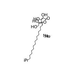 CC(C)CCCCCCCCCCCCCCC[C@]1([C@@H](O)CO)OC(=O)C(O)=C1O.[Na].[Na]